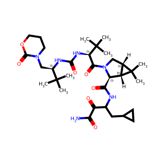 CC(C)(C)[C@H](NC(=O)N[C@H](CN1CCCOC1=O)C(C)(C)C)C(=O)N1C[C@H]2[C@@H]([C@H]1C(=O)NC(CC1CC1)C(=O)C(N)=O)C2(C)C